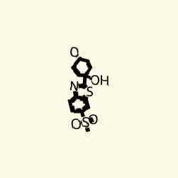 CS(=O)(=O)c1ccc2nc(C3(O)C=CC(=O)C=C3)sc2c1